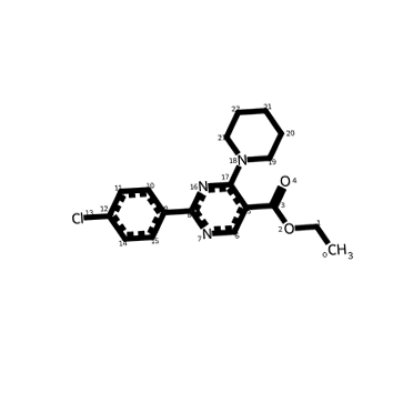 CCOC(=O)c1cnc(-c2ccc(Cl)cc2)nc1N1CCCCC1